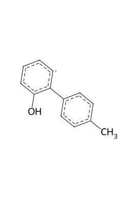 Cc1ccc(-c2[c]cccc2O)cc1